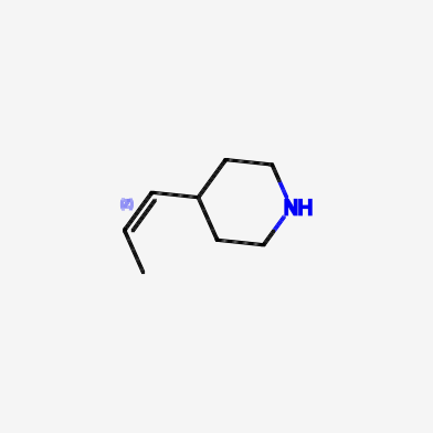 C/C=C\C1CCNCC1